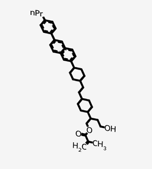 C=C(C)C(=O)OCC(CCO)C1CCC(CCC2CCC(c3ccc4cc(-c5ccc(CCC)cc5)ccc4c3)CC2)CC1